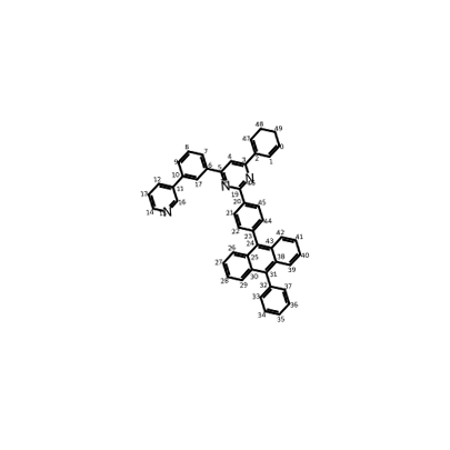 C1=CC(c2cc(-c3cccc(-c4cccnc4)c3)nc(-c3ccc(-c4c5ccccc5c(-c5ccccc5)c5ccccc45)cc3)n2)=CCC1